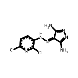 NC1=NN=C(N)C1=NNc1ccc(Cl)nc1Cl